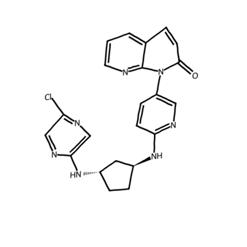 O=c1ccc2cccnc2n1-c1ccc(N[C@H]2CC[C@H](Nc3cnc(Cl)cn3)C2)nc1